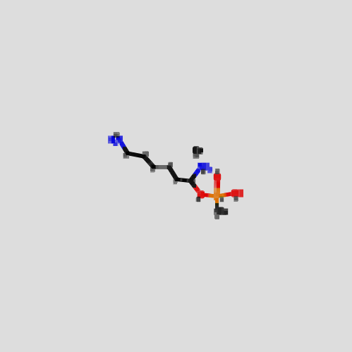 CCCCP(=O)(O)OC(N)CCCCCN.[Ce]